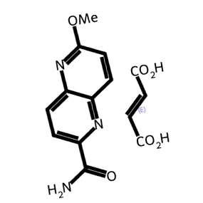 COc1ccc2nc(C(N)=O)ccc2n1.O=C(O)/C=C/C(=O)O